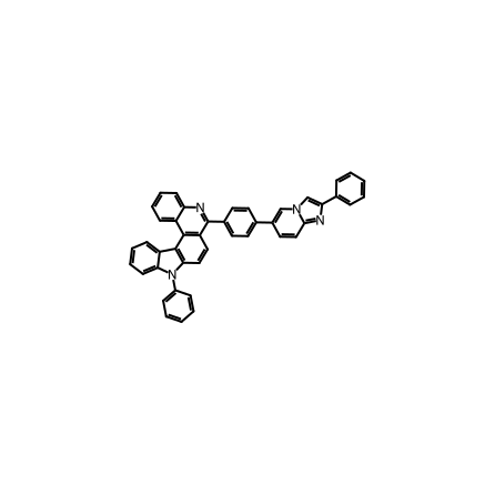 c1ccc(-c2cn3cc(-c4ccc(-c5nc6ccccc6c6c5ccc5c6c6ccccc6n5-c5ccccc5)cc4)ccc3n2)cc1